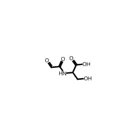 O=CC(=O)NC(CO)C(=O)O